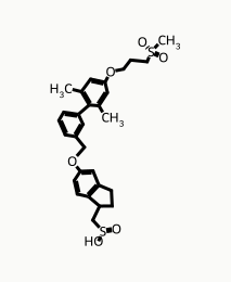 Cc1cc(OCCCS(C)(=O)=O)cc(C)c1-c1cccc(COc2ccc3c(c2)CCC3CS(=O)O)c1